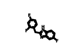 Fc1ccc(Cc2nc3cc(F)ccc3[nH]2)c(F)c1